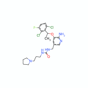 CC(Oc1cc(CNC(=O)NCCCN2CCCC2)cnc1N)c1c(Cl)ccc(F)c1Cl